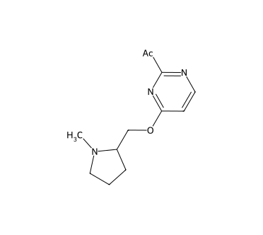 CC(=O)c1nccc(OCC2CCCN2C)n1